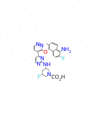 Cc1ccc2c(N)c(F)ccc2c1Oc1nnccc1-c1ccnc(N[C@H]2CC(F)CN(C(=O)O)C2)n1